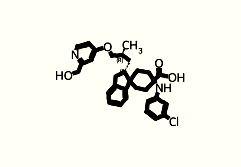 C[C@@H](COc1ccnc(CO)c1)C[C@H]1Cc2ccccc2C12CCC(Nc1cccc(Cl)c1)(C(=O)O)CC2